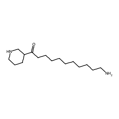 NCCCCCCCCCCC(=O)C1CCCNC1